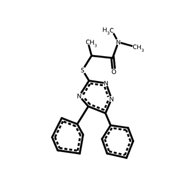 CC(Sc1nnc(-c2ccccc2)c(-c2ccccc2)n1)C(=O)N(C)C